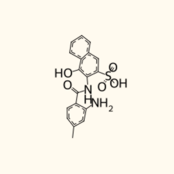 Cc1ccc(C(=O)Nc2c(S(=O)(=O)O)cc3ccccc3c2O)c(N)c1